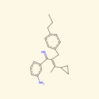 CCCc1ccc(C/C(C(=N)c2cccc(N)c2)=C(/C)C2CC2)cc1